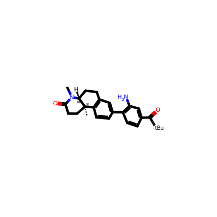 CN1C(=O)CC[C@]2(C)c3ccc(-c4ccc(C(=O)C(C)(C)C)cc4N)cc3CC[C@@H]12